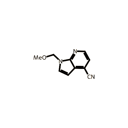 COCn1ccc2c(C#N)ccnc21